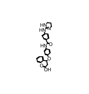 O=C(O)CC(Oc1ccc(NC(=O)c2ccc(NC3=NCCCN3)cc2)cc1)c1ccccc1